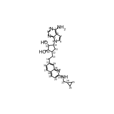 Nc1ncnc2c1ccn2C1CC(CCc2ccc3ccc(NCC4CC4)nc3c2)C(O)C1O